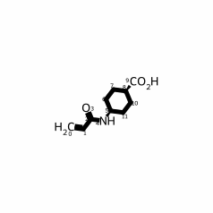 C=CC(=O)N[C@H]1CC[C@@H](C(=O)O)CC1